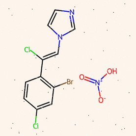 ClC(=Cn1ccnc1)c1ccc(Cl)cc1Br.O=[N+]([O-])O